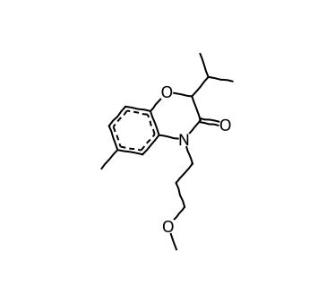 COCCCN1C(=O)C(C(C)C)Oc2ccc(C)cc21